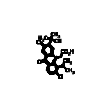 CN(C)c1c(Cl)ccc2c(=O)c3cc(Cl)c(C(C)(C)C#N)cc3n(CC(=O)O)c12